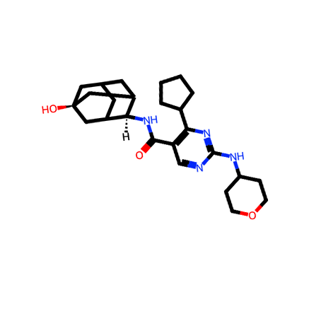 O=C(N[C@H]1C2CC3CC1C[C@@](O)(C3)C2)c1cnc(NC2CCOCC2)nc1C1CCCC1